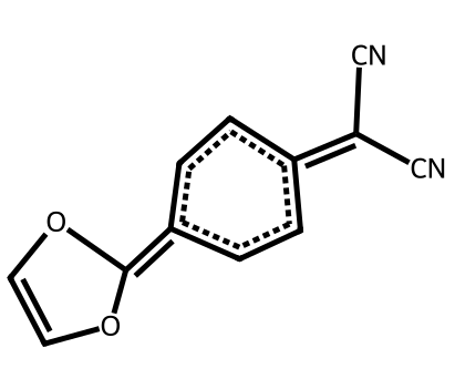 N#CC(C#N)=c1ccc(=C2OC=CO2)cc1